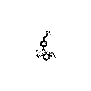 CCCc1ccc(C(C)ON2C(C)(C)CCCC2(C)C)cc1